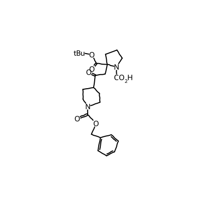 CC(C)(C)OC(=O)C1(CC(=O)C2CCN(C(=O)OCc3ccccc3)CC2)CCCN1C(=O)O